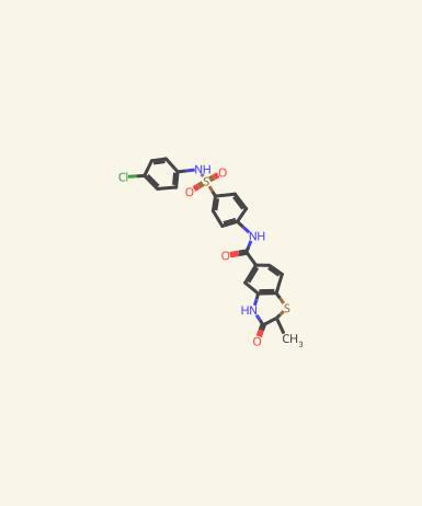 CC1Sc2ccc(C(=O)Nc3ccc(S(=O)(=O)Nc4ccc(Cl)cc4)cc3)cc2NC1=O